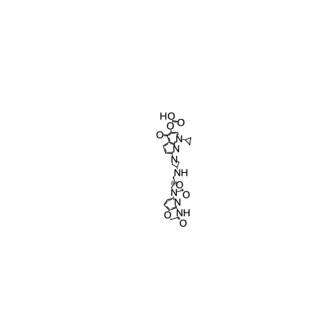 O=C1COc2ccc(N3C[C@@H](CNC4CN(c5ccc6c(=O)c(OC(=O)O)cn(C7CC7)c6n5)C4)OC3=O)nc2N1